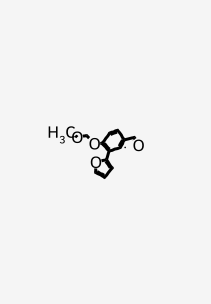 COCOc1ccc(C=O)[c]c1-c1ccco1